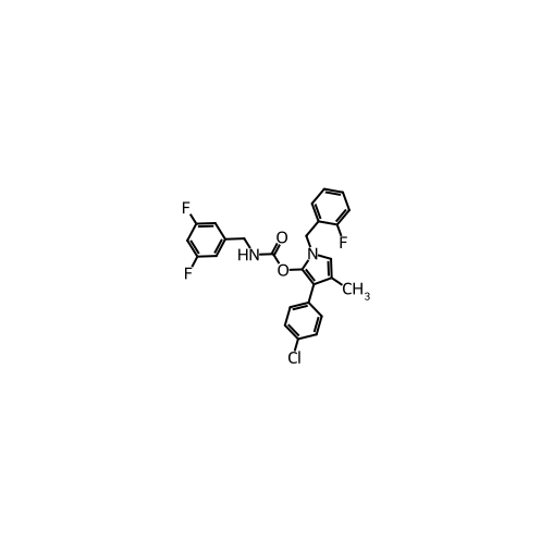 Cc1cn(Cc2ccccc2F)c(OC(=O)NCc2cc(F)cc(F)c2)c1-c1ccc(Cl)cc1